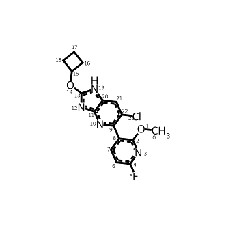 COc1nc(F)ccc1-c1nc2nc(OC3CCC3)[nH]c2cc1Cl